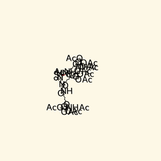 CC(=O)NC1C(OC(C)=O)[C@@H](OC(C)=O)C(COC(C)=O)O[C@H]1OCCCCCCC(=O)NCCCN(CCCN(CCCNC(=O)CCCCCCO[C@@H]1OC(COC(C)=O)[C@H](OC(C)=O)C(OC(C)=O)C1NC(C)=O)C(c1ccccc1)(c1ccccc1)c1ccccc1)C(=O)CCCCCCO[C@@H]1OC(COC(C)=O)[C@H](OC(C)=O)C(OC(C)=O)[C@H]1NC(C)=O